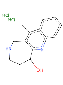 Cc1c2c(nc3ccccc13)C(O)CCNC2.Cl.Cl